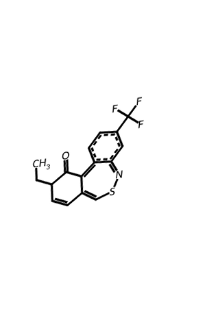 CCC1C=CC2=CSN=c3cc(C(F)(F)F)ccc3=C2C1=O